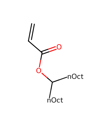 C=CC(=O)OC(CCCCCCCC)CCCCCCCC